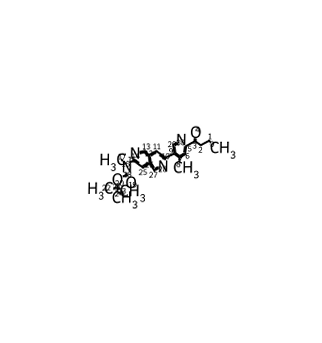 CCCC(=O)c1cc(C)c(-c2cc3cnc(N(C)C(=O)OC(C)(C)C)cc3cn2)cn1